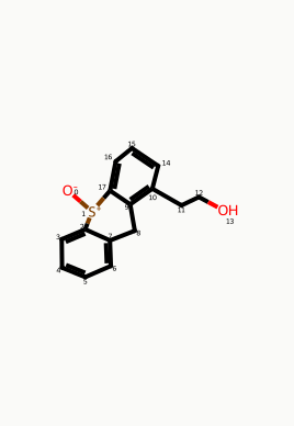 [O-][S+]1c2ccccc2Cc2c(CCO)cccc21